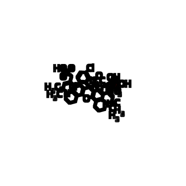 CC(C)(ON1C(=O)c2c(Cl)ccc(Cl)c2C12c1cc3c4c(c1Oc1c2cc2c5c1CCCN5C(C)(C)C=C2CS(=O)(=O)O)CCCN4C(C)(C)C=C3CS(=O)(=O)O)C(=O)O